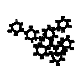 c1ccc(-c2ccc(N3c4ccc(-c5ccccc5)cc4B4c5c(cccc53)-c3cccc5c6ccccc6n4c35)cc2)cc1